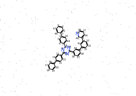 c1ccc(-c2ccc(-c3nc(-c4ccc(-c5ccccc5)cc4)nc(-c4cccc(-c5cccc(-c6cccnc6)c5)c4)n3)cc2)cc1